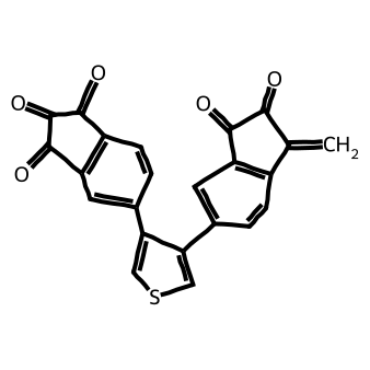 C=C1C(=O)C(=O)c2cc(-c3cscc3-c3ccc4c(=O)c(=O)c(=O)c4c3)ccc21